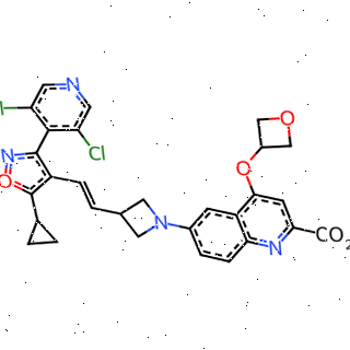 O=C(O)c1cc(OC2COC2)c2cc(N3CC(C=Cc4c(-c5c(Cl)cncc5Cl)noc4C4CC4)C3)ccc2n1